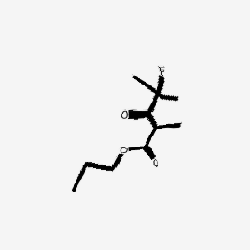 CCCOC(=O)C(C)C(=O)C(C)(C)F